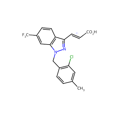 Cc1ccc(Cn2nc(/C=C/C(=O)O)c3ccc(C(F)(F)F)cc32)c(Cl)c1